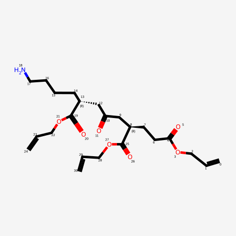 C=CCOC(=O)CC[C@H](CC(=O)C[C@@H](CCCCN)C(=O)OCC=C)C(=O)OCC=C